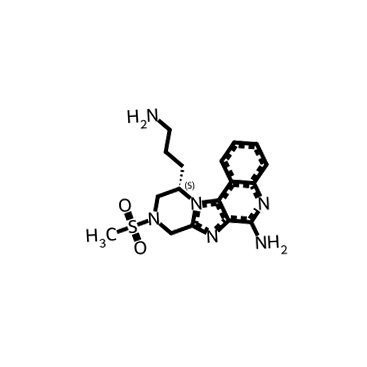 CS(=O)(=O)N1Cc2nc3c(N)nc4ccccc4c3n2[C@@H](CCCN)C1